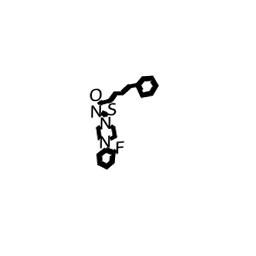 O=C1N=C(N2CCN(c3ccccc3F)CC2)SC1=CC=Cc1ccccc1